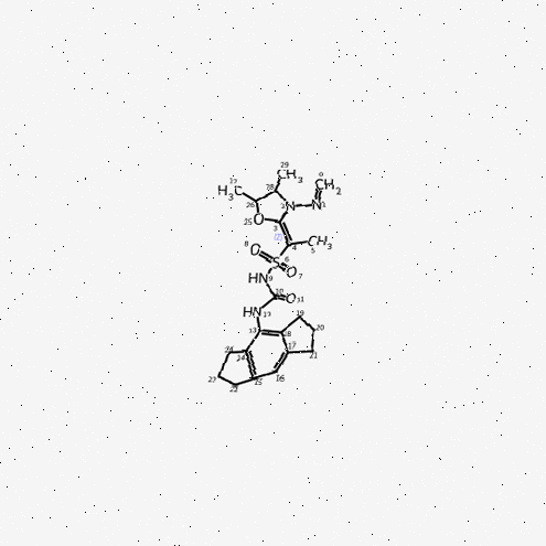 C=NN1/C(=C(\C)S(=O)(=O)NC(=O)Nc2c3c(cc4c2CCC4)CCC3)OC(C)C1C